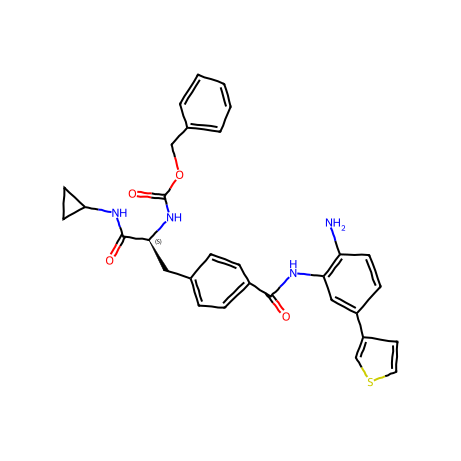 Nc1ccc(-c2ccsc2)cc1NC(=O)c1ccc(C[C@H](NC(=O)OCc2ccccc2)C(=O)NC2CC2)cc1